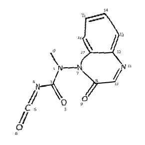 CN(C(=O)N=C=O)n1c(=O)cnc2ccccc21